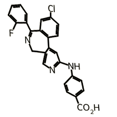 O=C(O)c1ccc(Nc2cc3c(cn2)CN=C(c2ccccc2F)c2cc(Cl)ccc2-3)cc1